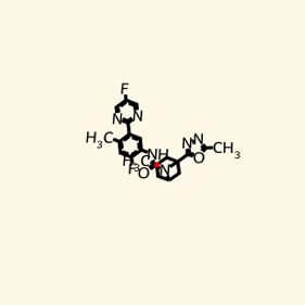 Cc1nnc(C23CC(C)CC(C2)N3C(=O)Nc2cc(-c3ncc(F)cn3)c(C)cc2F)o1